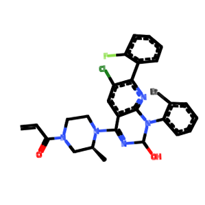 C=CC(=O)N1CCN(C2=NC(O)N(c3ccccc3CC)c3nc(-c4ccccc4F)c(Cl)cc32)[C@@H](C)C1